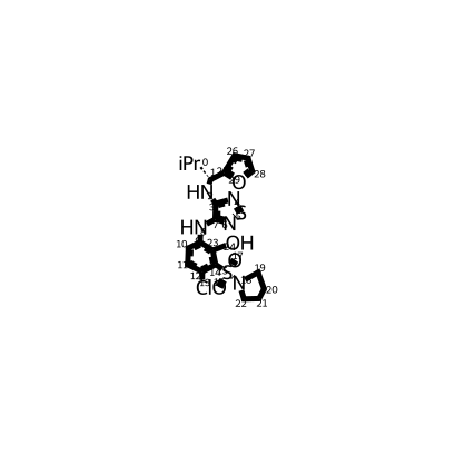 CC(C)[C@@H](Nc1nsnc1Nc1ccc(Cl)c(S(=O)(=O)N2CCCC2)c1O)c1ccco1